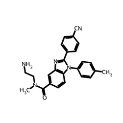 Cc1ccc(-n2c(-c3ccc(C#N)cc3)nc3cc(C(=O)N(C)CCN)ccc32)cc1